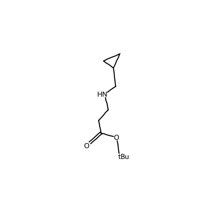 CC(C)(C)OC(=O)CCNCC1CC1